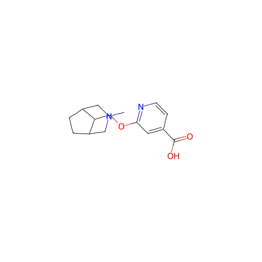 CN1CC2CCC(C1)C2COc1cc(C(=O)O)ccn1